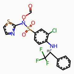 O=CON(c1nccs1)S(=O)(=O)c1ccc(N[C@H](c2ccccc2)C(F)(F)F)c(Cl)c1